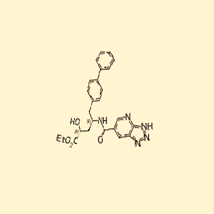 CCOC(=O)[C@H](O)C[C@@H](Cc1ccc(-c2ccccc2)cc1)NC(=O)c1cnc2[nH]nnc2c1